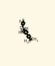 CN(C)c1ccc(-c2ccc3c(NC(=O)c4ccc(F)c(F)c4)n[nH]c3c2)cc1